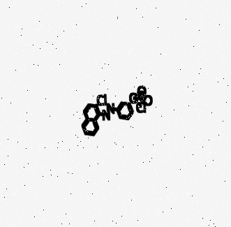 O=S(=O)(Cl)Oc1cccc(N=Nc2c(Cl)ccc3ccccc23)c1